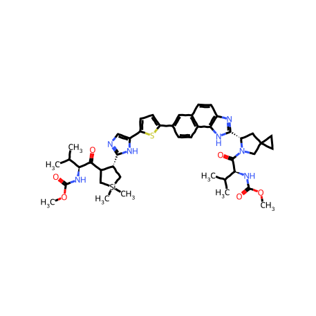 COC(=O)N[C@H](C(=O)C1C[Si](C)(C)C[C@H]1c1ncc(-c2ccc(-c3ccc4c(ccc5nc([C@@H]6CC7(CC7)CN6C(=O)[C@@H](NC(=O)OC)C(C)C)[nH]c54)c3)s2)[nH]1)C(C)C